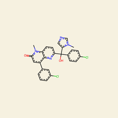 Cn1cncc1C(O)(c1ccc(Cl)cc1)c1ccc2c(n1)c(-c1cccc(Cl)c1)cc(=O)n2C